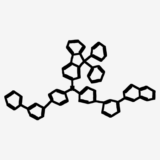 c1ccc(-c2cccc(-c3ccc(N(c4ccc(-c5cccc(-c6ccc7ccccc7c6)c5)cc4)c4ccc5c(c4)C(c4ccccc4)(c4ccccc4)c4ccccc4-5)cc3)c2)cc1